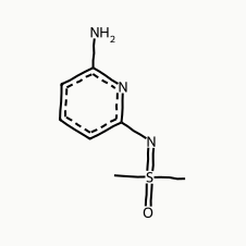 CS(C)(=O)=Nc1cccc(N)n1